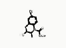 CCc1ccc2c(c1)CC(O)C(C)N2C(=O)OC